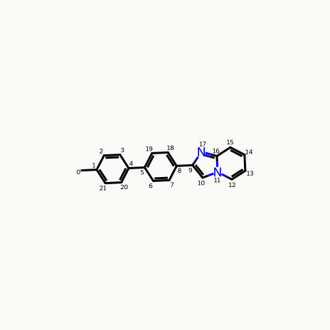 Cc1ccc(-c2ccc(-c3cn4ccccc4n3)cc2)cc1